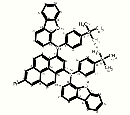 CC(C)c1cc2ccc3c(N(c4ccc([Si](C)(C)C)cc4)c4cccc5c4oc4ccccc45)cc(N(c4ccc([Si](C)(C)C)cc4)c4cccc5c4oc4ccccc45)c4ccc(c1)c2c34